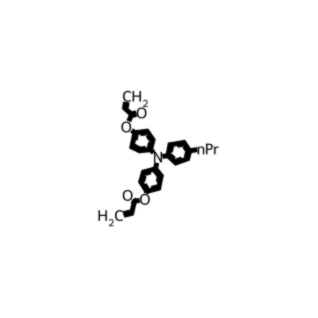 C=CC(=O)Oc1ccc(N(c2ccc(CCC)cc2)c2ccc(OC(=O)C=C)cc2)cc1